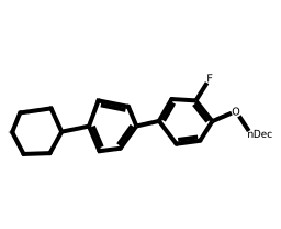 CCCCCCCCCCOc1ccc(-c2ccc(C3CC[CH]CC3)cc2)cc1F